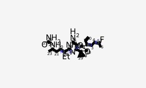 C=C/C(=C\C=C(/C)F)S(=O)(=O)C1(C(=C/CN)/N=C(N)/C(=C/CC(C)NC(N)=O)CC)CC1